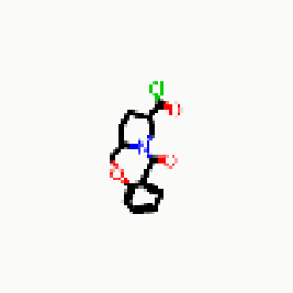 O=C(Cl)C1CCC2COc3ccccc3C(=O)N2C1